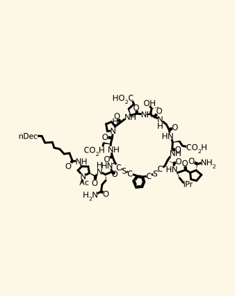 CCCCCCCCCCCCCCCCCC(=O)N[C@H]1C[C@@H](C(=O)N[C@@H](CCC(N)=O)C(=O)N[C@H]2CSCc3ccccc3CSCC[C@@H](C(=O)N[C@@H](CC(C)C)C(=O)C3CCC[C@H]3C(N)=O)NC(=O)[C@H](CCC(=O)O)NC(=O)CNC(=O)[C@H]([C@@H](C)O)NC(=O)[C@H](CCC(=O)O)NC(=O)[C@@H]3CCCN3C(=O)[C@H](CC(=O)O)NC2=O)N(C(C)=O)C1